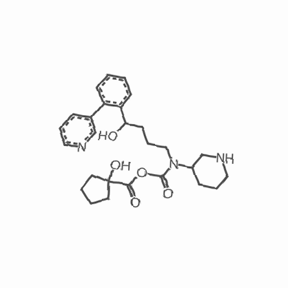 O=C(OC(=O)C1(O)CCCC1)N(CCCC(O)c1ccccc1-c1cccnc1)C1CCCNC1